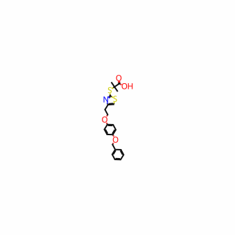 CC(C)(Sc1nc(CCOc2ccc(OCc3ccccc3)cc2)cs1)C(=O)O